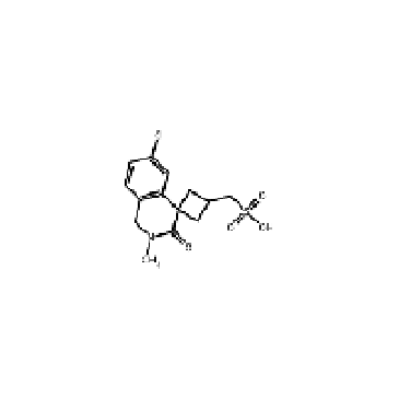 CN1Cc2ccc(Cl)cc2C2(CC(CS(=O)(=O)O)C2)C1=O